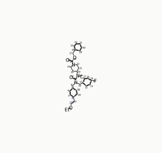 CCO/C=C/c1ccc(CN2Cc3ccc(F)cc3CN(C3CCN(C(=O)OCc4ccccc4)CC3)C2=O)cc1